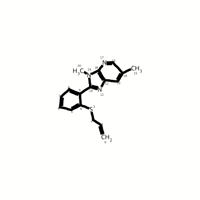 C=CCSc1ccccc1-c1nc2cc(C)cnc2n1C